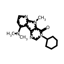 CN(C)c1ccnc2c1c1ncn(C3CCCCC3)c(=O)c1n2C